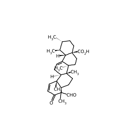 C[C@H]1[C@H](C)CC[C@]2(C(=O)O)CC[C@]3(C)C(=CC[C@@H]4[C@@]5(C)C=CC(=O)C(C)(C=O)C5CC[C@]43C)[C@H]12